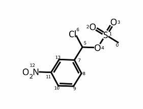 CS(=O)(=O)OC(Cl)c1cccc([N+](=O)[O-])c1